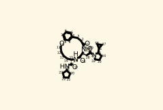 O=C1CCc2cccc(c2)OCCCC[C@@H](C(=O)NC2CCCC2)NC(=O)[C@H](CC(=O)N2CCCC2C2CC2)N1